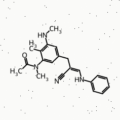 CNc1cc(C/C(C#N)=C/Nc2ccccc2)cc(N(C)C(C)=O)c1C